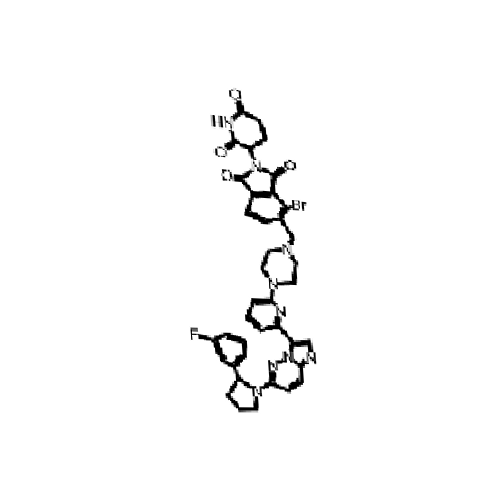 O=C1CCC(N2C(=O)c3ccc(CN4CCN(c5cccc(-c6cnc7ccc(N8CCCC8c8cccc(F)c8)nn67)n5)CC4)c(Br)c3C2=O)C(=O)N1